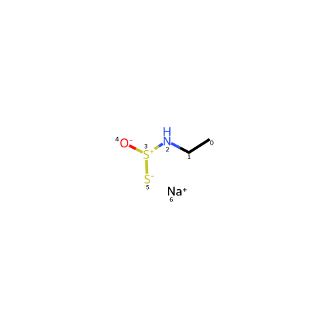 CCN[S+]([O-])[S-].[Na+]